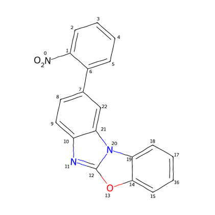 O=[N+]([O-])c1ccccc1-c1ccc2nc3oc4ccccc4n3c2c1